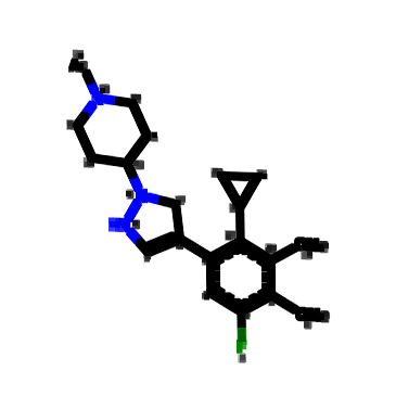 COc1c(F)cc(C2=CNN(C3CCN(C(C)=O)CC3)C2)c(C2CC2)c1OC